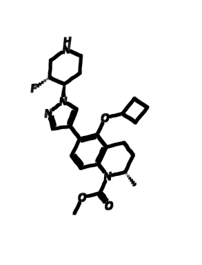 COC(=O)N1c2ccc(-c3cnn([C@@H]4CCNC[C@H]4F)c3)c(OC3CCC3)c2CC[C@@H]1C